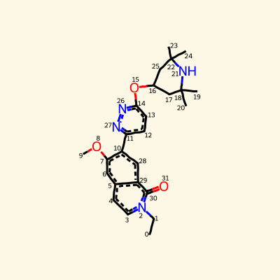 CCn1ccc2cc(OC)c(-c3ccc(OC4CC(C)(C)NC(C)(C)C4)nn3)cc2c1=O